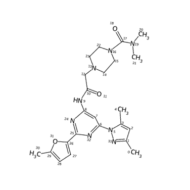 Cc1cc(C)n(-c2cc(NC(=O)CN3CCN(C(=O)N(C)C)CC3)nc(-c3ccc(C)o3)n2)n1